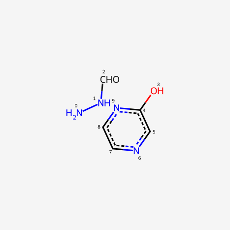 NNC=O.Oc1cnccn1